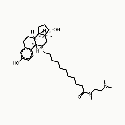 CN(C)CCN(C)C(=O)CCCCCCCCCC[C@H]1C[C@]2(C)[C@@H](O)CC[C@H]2[C@@H]2CCc3cc(O)ccc3[C@@H]12